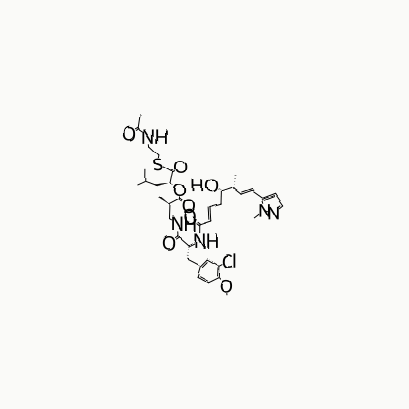 COc1ccc(C[C@@H](NC(=O)/C=C/C[C@H](O)[C@H](C)/C=C/c2ccnn2C)C(=O)NC[C@@H](C)C(=O)O[C@@H](CC(C)C)C(=O)SCCNC(C)=O)cc1Cl